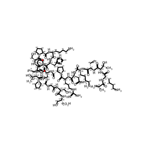 CC(C)C[C@H](NC(=O)[C@H](CS)NC(=O)[C@@H]1CCCN1C(=O)[C@H](CCCNC(=N)N)NC(=O)[C@H](CC(N)=O)NC(=O)[C@H](CCCCN)NC(=O)[C@H](CC(C)C)NC(=O)[C@@H](NC(=O)[C@H](CCCCN)NC(=O)[C@H](C)N)[C@@H](C)O)C(=O)N[C@@H](CO)C(=O)N1CCC[C@H]1C(=O)N[C@@H](CCCCN)C(=O)N[C@@H](Cc1c[nH]cn1)C(=O)N1CCC[C@H]1C(=O)N[C@H](C(=O)N1CCC[C@H]1C(=O)NCC(=O)N[C@@H](CO)C(=O)N[C@@H](CO)C(=O)O)[C@@H](C)O